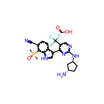 CP(C)(=O)c1c(C#N)ccc2c(-c3nc(N[C@H]4CC[C@H](N)C4)ncc3C(F)(F)F)c[nH]c12.O=CO